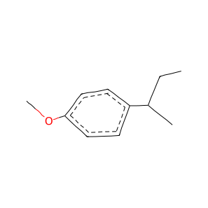 CCC(C)c1ccc(OC)cc1